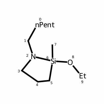 CCCCCCN1CCC[Si]1(C)OCC